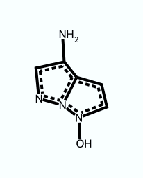 Nc1cnn2c1ccn2O